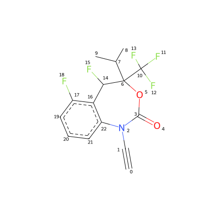 C#CN1C(=O)OC(C(C)C)(C(F)(F)F)C(F)c2c(F)cccc21